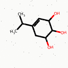 CC(C)C1=CC(O)C(O)C(O)C1